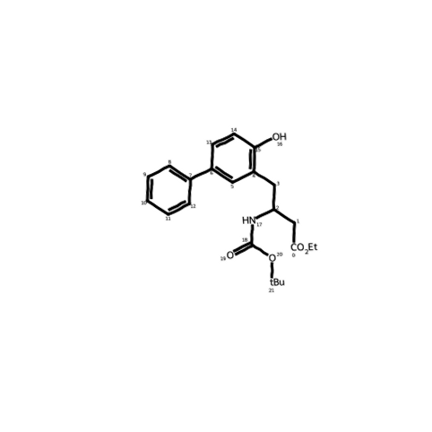 CCOC(=O)CC(Cc1cc(-c2ccccc2)ccc1O)NC(=O)OC(C)(C)C